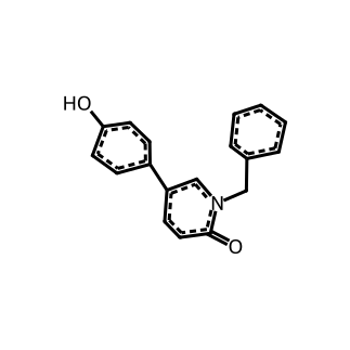 O=c1ccc(-c2ccc(O)cc2)cn1Cc1ccccc1